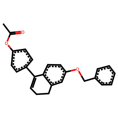 CC(=O)Oc1ccc(C2=CCCc3cc(OCc4ccccc4)ccc32)cc1